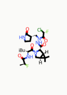 CC[C@@H](C)[C@H](NC(=O)[C@H](C)F)C(=O)N1C[C@H]2[C@@H]([C@H]1C(=O)NN(C[C@@H]1CCNC1=O)C(=O)[C@@H](F)Cl)C2(C)C